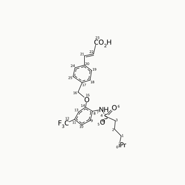 CC(C)CCCS(=O)(=O)Nc1ccc(C(F)(F)F)cc1OCc1ccc(C=CC(=O)O)cc1